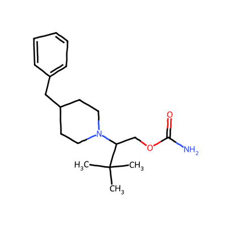 CC(C)(C)C(COC(N)=O)N1CCC(Cc2ccccc2)CC1